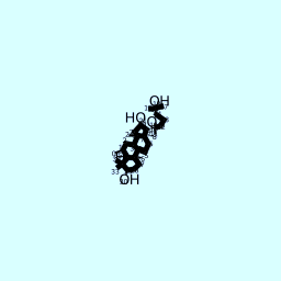 C[C@H]1CC2C(=CC[C@]3(C)[C@@H]([C@@]4(C)CC[C@@H](C(C)(C)O)O4)[C@@H](O)C[C@@]23C)[C@@]2(C)CC[C@H](O)C(C)(C)[C@@H]12